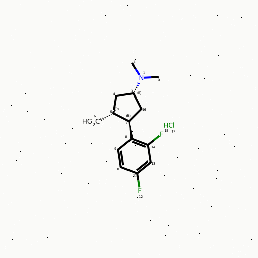 CN(C)[C@H]1C[C@@H](C(=O)O)[C@H](c2ccc(F)cc2F)C1.Cl